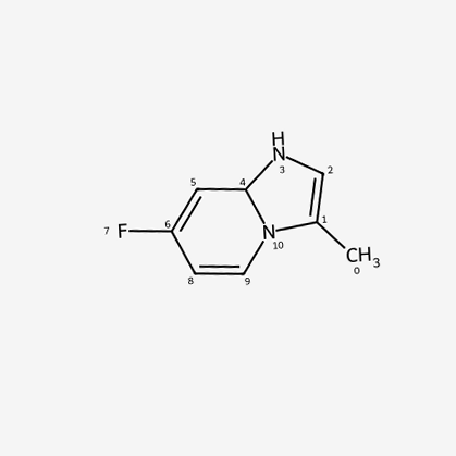 CC1=CNC2C=C(F)C=CN12